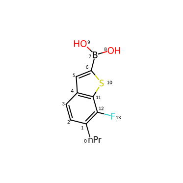 CCCc1ccc2cc(B(O)O)sc2c1F